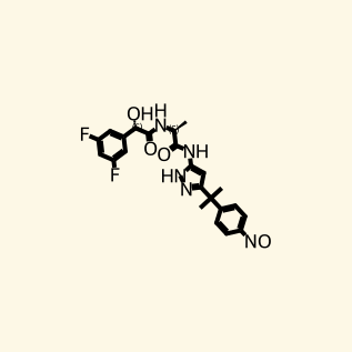 C[C@H](NC(=O)[C@@H](O)c1cc(F)cc(F)c1)C(=O)Nc1cc(C(C)(C)c2ccc(N=O)cc2)n[nH]1